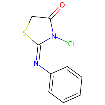 O=C1CSC(=Nc2ccccc2)N1Cl